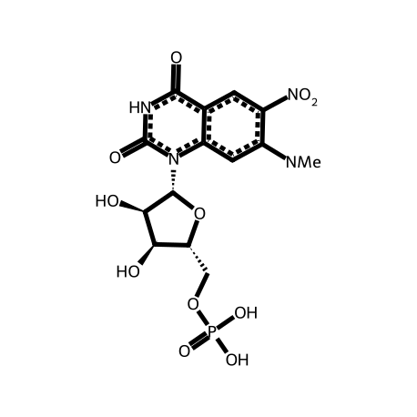 CNc1cc2c(cc1[N+](=O)[O-])c(=O)[nH]c(=O)n2[C@@H]1O[C@H](COP(=O)(O)O)[C@@H](O)[C@H]1O